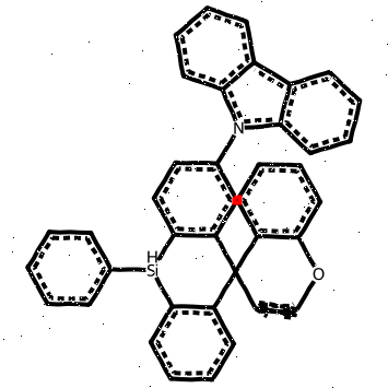 c1ccc([SiH]2c3ccccc3C3(c4ccccc4Oc4ccccc43)c3cc(-n4c5ccccc5c5ccccc54)ccc32)cc1